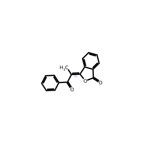 C/C(C(=O)c1ccccc1)=C1/OC(=O)c2ccccc21